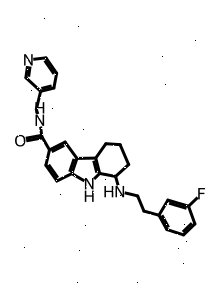 O=C(NCc1cccnc1)c1ccc2[nH]c3c(c2c1)CCCC3NCCc1cccc(F)c1